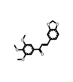 COc1cc(C(=O)C=Cc2ccc3c(c2)OCO3)cc(OC)c1OC